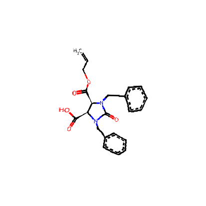 C=CCOC(=O)[C@@H]1[C@H](C(=O)O)N(Cc2ccccc2)C(=O)N1Cc1ccccc1